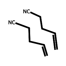 C=CCCC#N.C=CCCC#N